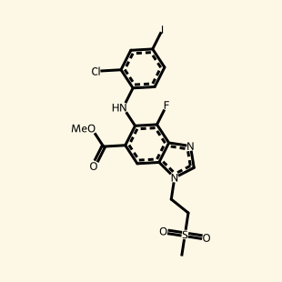 COC(=O)c1cc2c(ncn2CCS(C)(=O)=O)c(F)c1Nc1ccc(I)cc1Cl